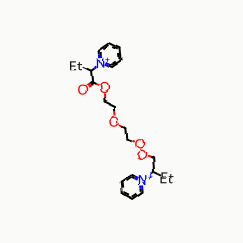 CCC(COOCCOCCOC(=O)C(CC)[n+]1ccccc1)[n+]1ccccc1